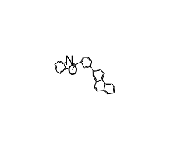 c1cc(-c2ccc3c(ccc4ccccc43)c2)cc(-c2nc3ccccc3o2)c1